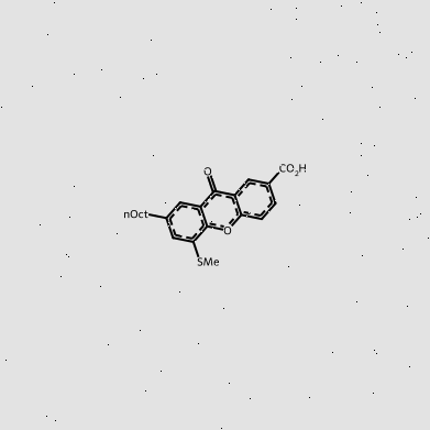 CCCCCCCCc1cc(SC)c2oc3ccc(C(=O)O)cc3c(=O)c2c1